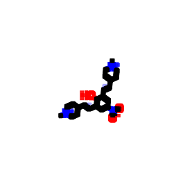 C[n+]1ccc(/C=C/c2cc([N+](=O)[O-])cc(/C=C/c3cc[n+](C)cc3)c2O)cc1